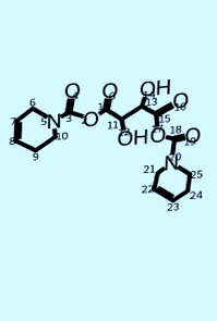 O=C(OC(=O)N1CC=CCC1)C(O)C(O)C(=O)OC(=O)N1CC=CCC1